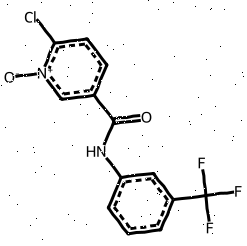 O=C(Nc1cccc(C(F)(F)F)c1)c1ccc(Cl)[n+]([O-])c1